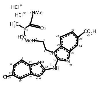 CNC(=O)N(C)C.CNCCn1c(Nc2nc3ccc(Cl)cc3s2)nc2cc(C(=O)O)ccc21.Cl.Cl